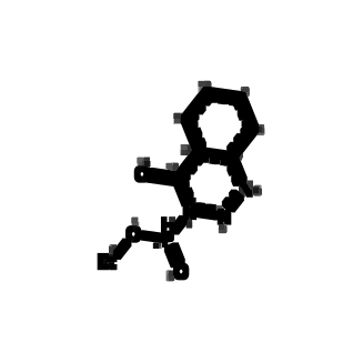 CCO[PH](=O)n1nnc2ccccc2c1=O